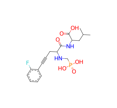 CC(C)CC(NC(=O)C(CC#Cc1ccccc1F)NCP(=O)(O)O)C(=O)O